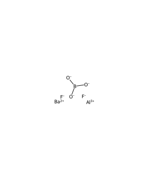 [Al+3].[Ba+2].[F-].[F-].[O-]B([O-])[O-]